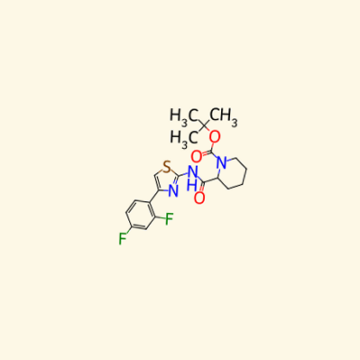 CC(C)(C)OC(=O)N1CCCCC1C(=O)Nc1nc(-c2ccc(F)cc2F)cs1